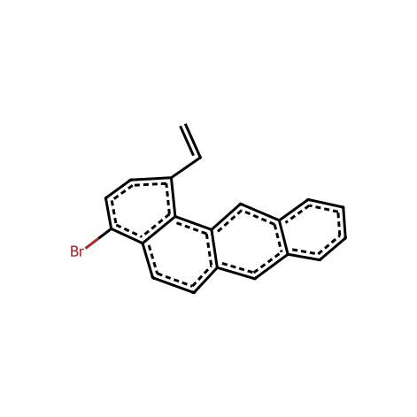 C=Cc1ccc(Br)c2ccc3cc4ccccc4cc3c12